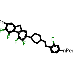 CCCCCc1ccc(CCC2CCC(c3cc4c(c(F)c3F)-c3c(cc(CCC)c(F)c3F)C4)CC2)c(F)c1